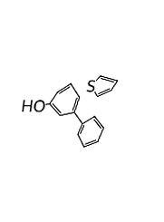 Oc1cccc(-c2ccccc2)c1.c1ccsc1